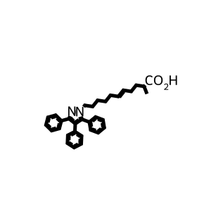 CC(CC/C=C/CCCCCn1nc(-c2ccccc2)c(-c2ccccc2)c1-c1ccccc1)C(=O)O